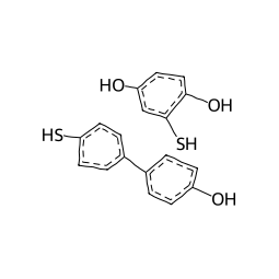 Oc1ccc(-c2ccc(S)cc2)cc1.Oc1ccc(O)c(S)c1